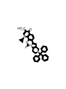 O=C(O)c1cn(C2CC2)c2c(OC(F)F)c(-c3cc4c(s3)CCN(C(c3ccccc3)(c3ccccc3)c3ccccc3)C4)ccc2c1=O